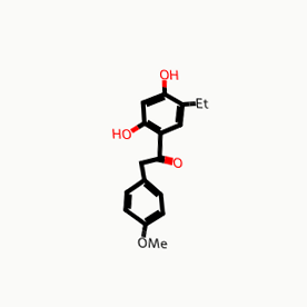 CCc1cc(C(=O)Cc2ccc(OC)cc2)c(O)cc1O